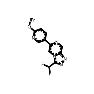 CC(C)Oc1ccc(-c2cn3c(C(F)F)nnc3cn2)cn1